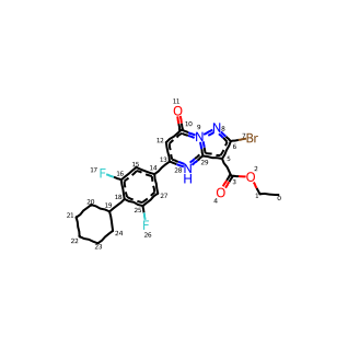 CCOC(=O)c1c(Br)nn2c(=O)cc(-c3cc(F)c(C4CCCCC4)c(F)c3)[nH]c12